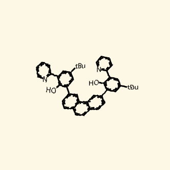 CC(C)(C)c1cc(-c2ccc3ccc4ccc(-c5cc(C(C)(C)C)cc(-c6ccccn6)c5O)cc4c3c2)c(O)c(-c2ccccn2)c1